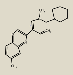 C=C/C(=C\N(C)CC1CCCCC1)c1cnc2ccc(C)cc2n1